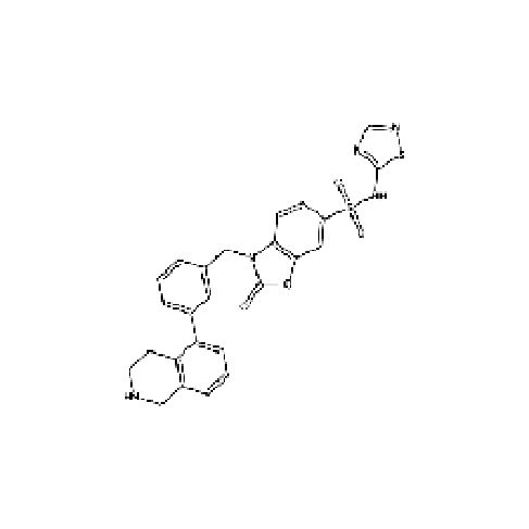 O=c1oc2cc(S(=O)(=O)Nc3ncns3)ccc2n1Cc1cccc(-c2cccc3c2CCNC3)c1